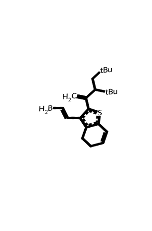 B/C=C/c1c(C(=C)C(CC(C)(C)C)C(C)(C)C)sc2c1CCC=C2